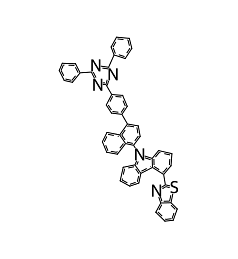 c1ccc(-c2nc(-c3ccccc3)nc(-c3ccc(-c4ccc(-n5c6ccccc6c6c(-c7nc8ccccc8s7)cccc65)c5ccccc45)cc3)n2)cc1